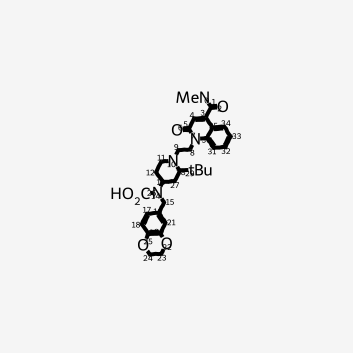 CNC(=O)c1cc(=O)n(CCN2CCC(N(Cc3ccc4c(c3)OCCO4)C(=O)O)CC2C(C)(C)C)c2ccccc12